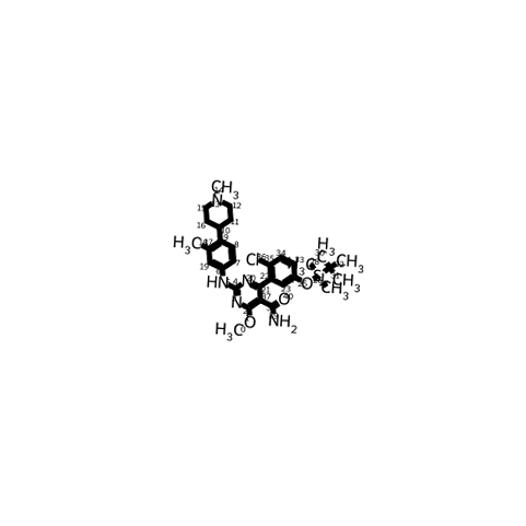 COc1nc(Nc2ccc(C3CCN(C)CC3)c(C)c2)nc(-c2cc(O[Si](C)(C)C(C)(C)C)ccc2Cl)c1C(N)=O